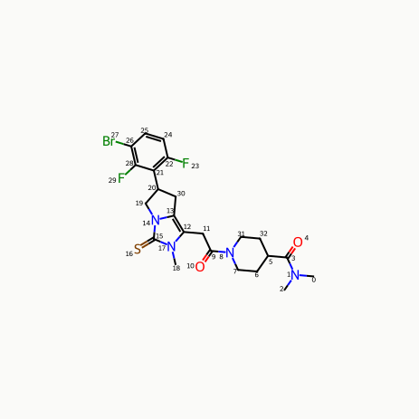 CN(C)C(=O)C1CCN(C(=O)Cc2c3n(c(=S)n2C)CC(c2c(F)ccc(Br)c2F)C3)CC1